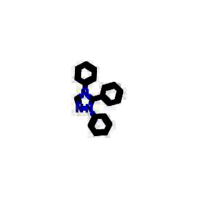 C1=NN(c2ccccc2)C(c2ccccc2)N1c1ccccc1